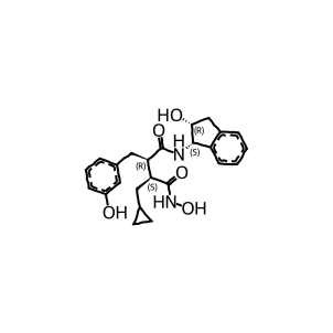 O=C(NO)[C@@H](CC1CC1)[C@@H](Cc1cccc(O)c1)C(=O)N[C@H]1c2ccccc2C[C@H]1O